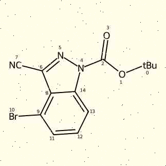 CC(C)(C)OC(=O)n1nc(C#N)c2c(Br)cccc21